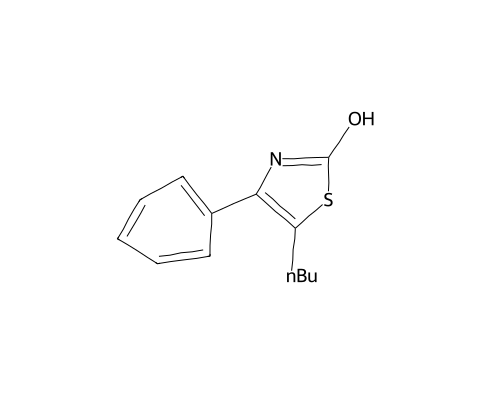 CCCCc1sc(O)nc1-c1ccccc1